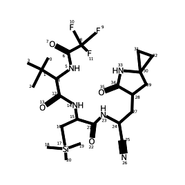 CC(C)(C)C(NC(=O)C(F)(F)F)C(=O)NC(C[Si](C)(C)C)C(=O)NC(C#N)CC1CC2(CC2)NC1=O